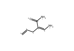 C=CCC(=CN)C(N)=O